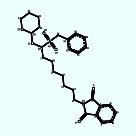 O=C1c2ccccc2C(=O)N1CCCCCCCN(OC1CCCCO1)S(=O)(=O)Cc1ccccc1